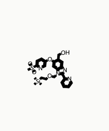 C[Si](C)(C)CCOCn1c(-c2ccccn2)nc2cc(CO)c(Oc3ccc(S(C)(=O)=O)nc3)cc21